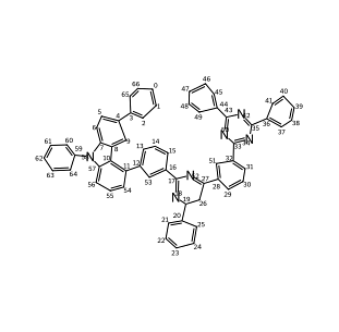 c1ccc(-c2ccc3c(c2)c2c(-c4cccc(C5=NC(c6ccccc6)CC(c6cccc(-c7nc(-c8ccccc8)nc(-c8ccccc8)n7)c6)=N5)c4)cccc2n3-c2ccccc2)cc1